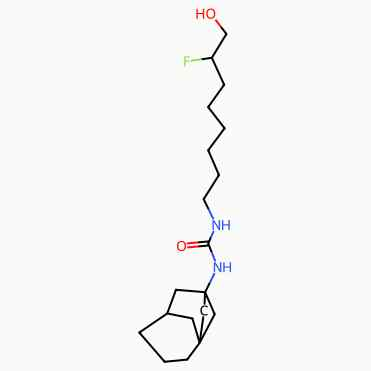 O=C(NCCCCCCC(F)CO)NC12CC3CCCC(C3)(C1)C2